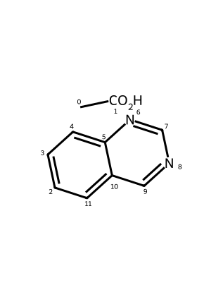 CC(=O)O.c1ccc2ncncc2c1